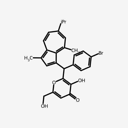 Cc1cc(C(c2ccc(Br)cc2)c2oc(CO)cc(=O)c2O)c2c(C)cc(C(C)C)ccc1-2